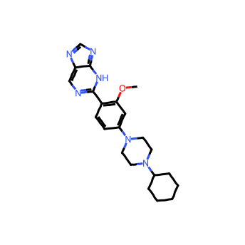 COc1cc(N2CCN(C3CCCCC3)CC2)ccc1-c1ncc2ncnc-2[nH]1